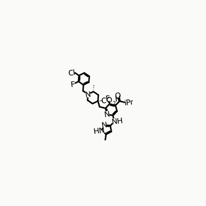 Cc1cc(Nc2cc(C(=O)C(C)C)c(F)c(C[C@@]3(C(=O)O)CCN(Cc4cccc(Cl)c4F)[C@H](C)C3)n2)n[nH]1